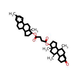 Cc1ccc2c(c1)CCC1C2CC[C@@]2(C)C1CC[C@@H]2OC(=O)CCC(=O)O[C@H]1CCC2C3C(C4CCC(=O)C=C4C[C@H]3C)[C@@H](C)C[C@@]21C